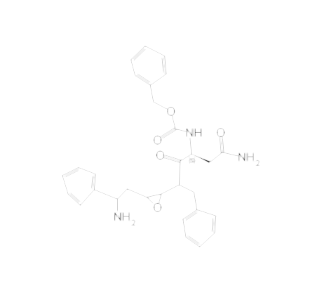 NC(=O)C[C@H](NC(=O)OCc1ccccc1)C(=O)C(Cc1ccccc1)C1OC1CC(N)c1ccccc1